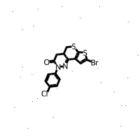 O=C1CC2CSc3sc(Br)cc3C2=NN1c1ccc(Cl)cc1